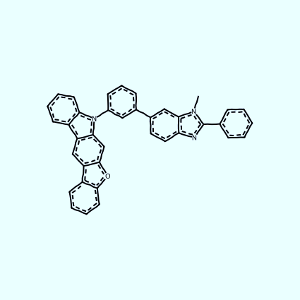 Cn1c(-c2ccccc2)nc2ccc(-c3cccc(-n4c5ccccc5c5cc6c(cc54)oc4ccccc46)c3)cc21